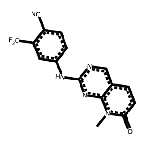 Cn1c(=O)ccc2cnc(Nc3ccc(C#N)c(C(F)(F)F)c3)nc21